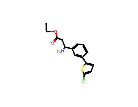 CCOC(=O)C[C@H](N)c1cccc(-c2ccc(Cl)s2)c1